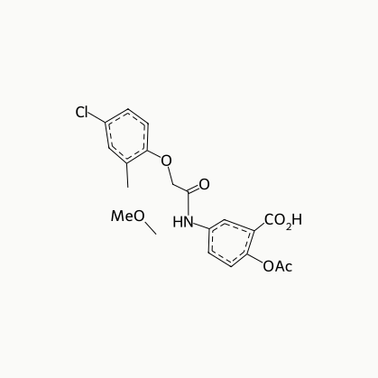 CC(=O)Oc1ccc(NC(=O)COc2ccc(Cl)cc2C)cc1C(=O)O.COC